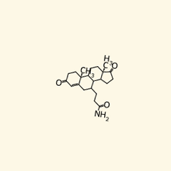 C[C@]12CCC(=O)C=C1CC(CCC(N)=O)C1C2CC[C@]2(C)C(=O)CCC12